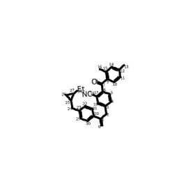 C=C(Cc1ccc(C(=O)c2ccc(C)cc2C)c(C#N)c1)c1ccc(CC2CC2CC)cc1